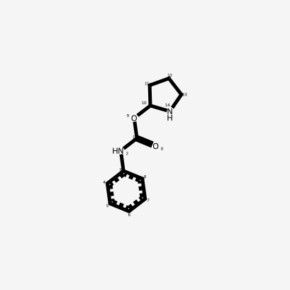 O=C(Nc1ccccc1)OC1CCCN1